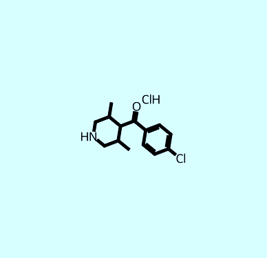 CC1CNCC(C)C1C(=O)c1ccc(Cl)cc1.Cl